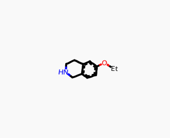 CCOc1ccc2c(c1)CCNC2